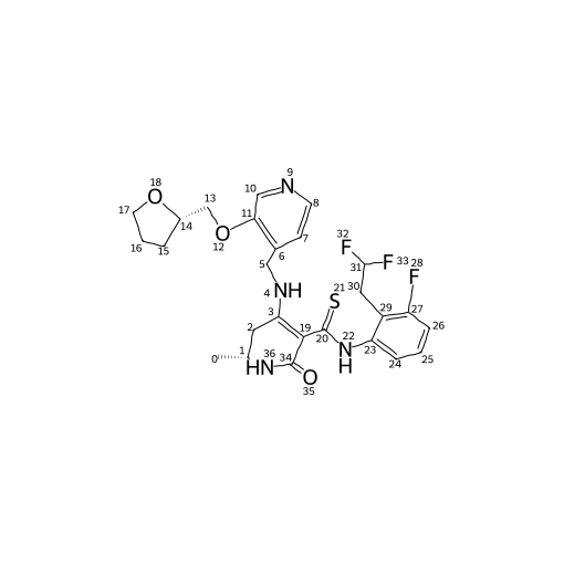 C[C@@H]1CC(NCc2ccncc2OC[C@@H]2CCCO2)=C(C(=S)Nc2cccc(F)c2CC(F)F)C(=O)N1